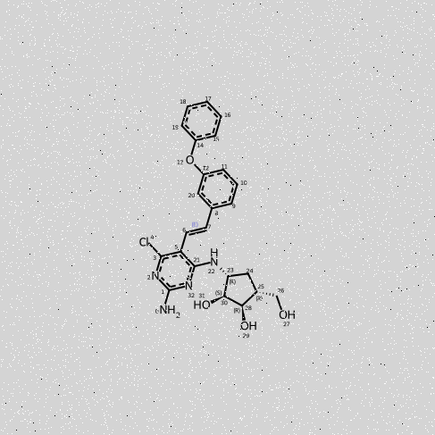 Nc1nc(Cl)c(/C=C/c2cccc(Oc3ccccc3)c2)c(N[C@@H]2C[C@H](CO)[C@@H](O)[C@H]2O)n1